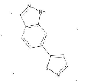 c1cc(-c2ccc3cn[nH]c3c2)sn1